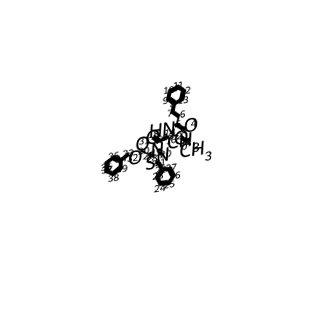 CCOC(=O)[C@H](CCc1ccccc1)N[C@@H](C)C(=O)N1N=C(c2ccccc2)S[C@@H]1C(=O)OCc1ccccc1